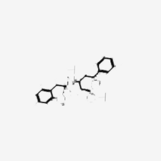 COc1ccccc1CC(=O)NC(CCc1ccccc1)CC(=O)O